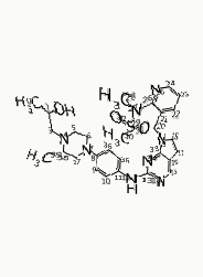 C[C@@H](O)CN1CCN(c2ccc(Nc3ncc4ccn(Cc5cccnc5N(C)S(C)(=O)=O)c4n3)cc2)C[C@@H]1C